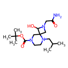 CC(C)CN1CCN(C(=O)OC(C)(C)C)CC12CN(CC(N)=O)C2O